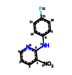 O=[N+]([O-])c1cccnc1Nc1ccc(F)cc1